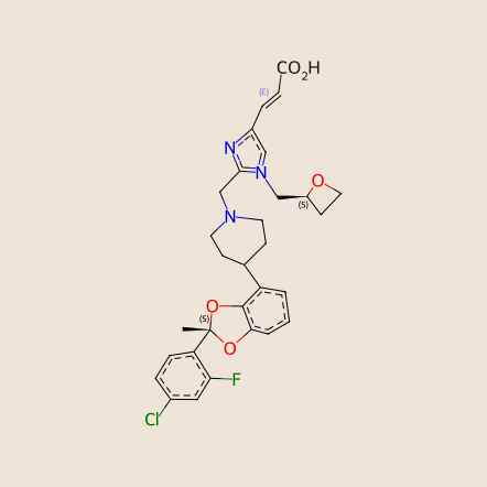 C[C@]1(c2ccc(Cl)cc2F)Oc2cccc(C3CCN(Cc4nc(/C=C/C(=O)O)cn4C[C@@H]4CCO4)CC3)c2O1